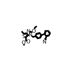 CCOc1nc2c(C)sc(C(=O)OC)c2n1Cc1ccc(-c2ccccc2C#N)cc1